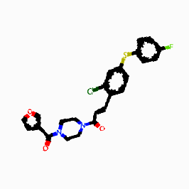 O=C(C=Cc1ccc(Sc2ccc(F)cc2)cc1Cl)N1CCN(C(=O)c2ccoc2)CC1